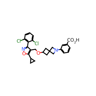 O=C(O)c1cccc(N2CC3(CC(OCc4c(-c5c(Cl)cccc5Cl)noc4C4CC4)C3)C2)c1